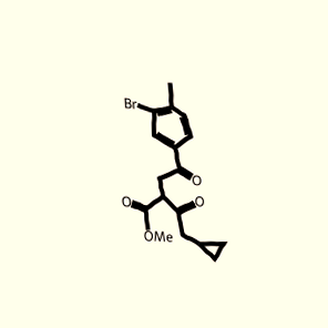 COC(=O)C(CC(=O)c1ccc(C)c(Br)c1)C(=O)CC1CC1